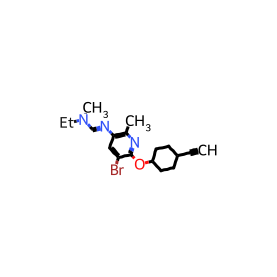 C#CC1CCC(Oc2nc(C)c(/N=C/N(C)CC)cc2Br)CC1